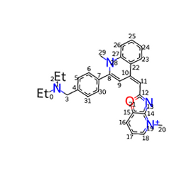 CCN(CC)Cc1ccc(C2=C/C(=C\c3nc4c(ccc[n+]4C)o3)c3ccccc3N2C)cc1